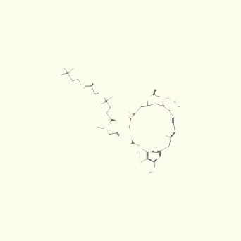 COc1cc2cc(c1Cl)N(C)C(=O)C[C@H](OC(=O)[C@H](C)N(C)C(=O)CCC(C)(C)SCC(=O)NCCC(C)(C)C)[C@@]1(C)O[C@H]1[C@H](C)[C@@H]1C[C@@](O)(NC(=O)O1)[C@H](OC)/C=C/C=C(\C)C2